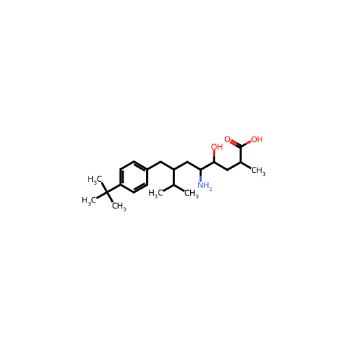 CC(CC(O)C(N)CC(Cc1ccc(C(C)(C)C)cc1)C(C)C)C(=O)O